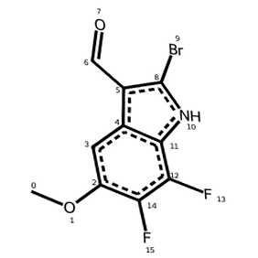 COc1cc2c(C=O)c(Br)[nH]c2c(F)c1F